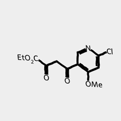 CCOC(=O)C(=O)CC(=O)c1cnc(Cl)cc1OC